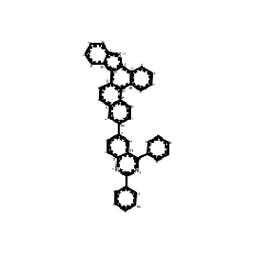 c1ccc(-c2nc(-c3ccccc3)c3cc(-c4ccc5c(ccc6c5c5ccccc5c5sc7ccccc7c65)c4)ccc3n2)cc1